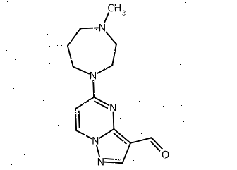 CN1CCCN(c2ccn3ncc(C=O)c3n2)CC1